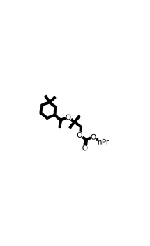 CCCOC(=O)OCC(C)(C)OC(C)C1CCCC(C)(C)C1